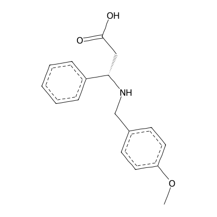 COc1ccc(CN[C@@H](CC(=O)O)c2ccccc2)cc1